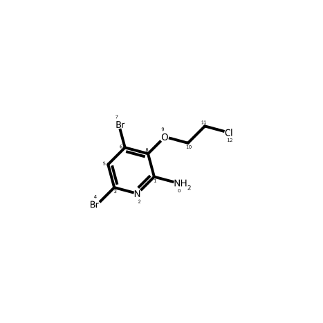 Nc1nc(Br)cc(Br)c1OCCCl